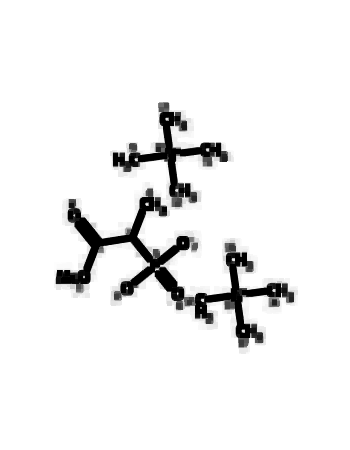 COC(=O)C(C)P(=O)([O-])[O-].C[N+](C)(C)C.C[N+](C)(C)C